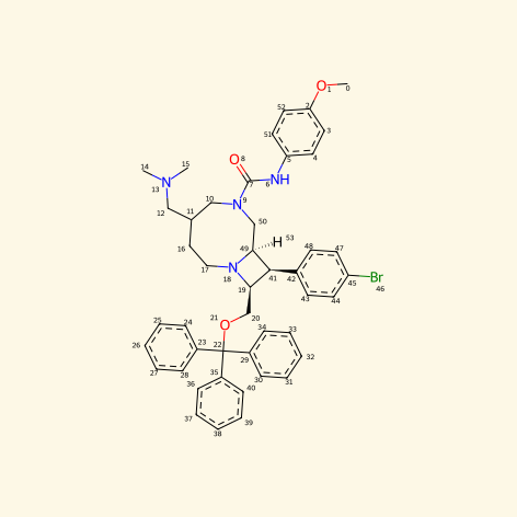 COc1ccc(NC(=O)N2CC(CN(C)C)CCN3[C@H](COC(c4ccccc4)(c4ccccc4)c4ccccc4)[C@H](c4ccc(Br)cc4)[C@@H]3C2)cc1